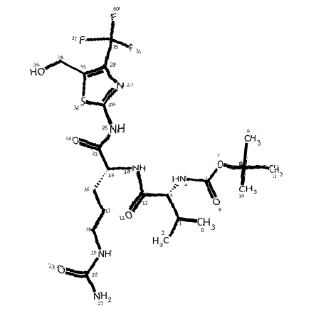 CC(C)[C@@H](NC(=O)OC(C)(C)C)C(=O)N[C@H](CCCNC(N)=O)C(=O)Nc1nc(C(F)(F)F)c(CO)s1